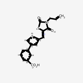 C=CCN1C(=O)S/C(=C\c2cc(-c3cccc(C(=O)O)c3)cs2)C1=O